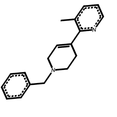 Cc1cccnc1C1=CCN(Cc2ccccc2)CC1